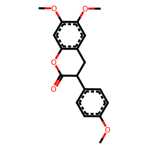 COc1ccc(C2Cc3cc(OC)c(OC)cc3OC2=O)cc1